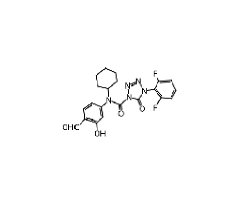 O=Cc1ccc(N(C(=O)n2nnn(-c3c(F)cccc3F)c2=O)C2CCCCC2)cc1O